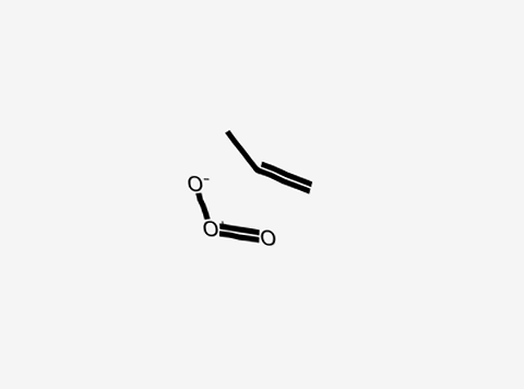 C=CC.O=[O+][O-]